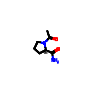 CC(=O)N1CC[CH][C@@H]1C(N)=O